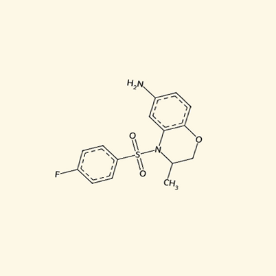 CC1COc2ccc(N)cc2N1S(=O)(=O)c1ccc(F)cc1